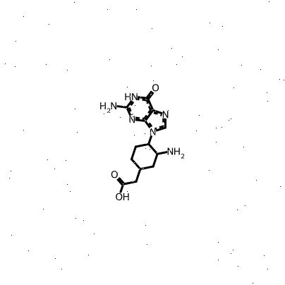 Nc1nc2c(ncn2C2CCC(CC(=O)O)CC2N)c(=O)[nH]1